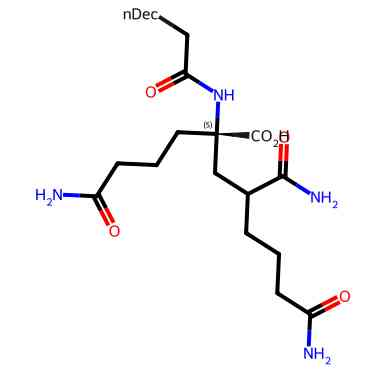 CCCCCCCCCCCC(=O)N[C@@](CCCC(N)=O)(CC(CCCC(N)=O)C(N)=O)C(=O)O